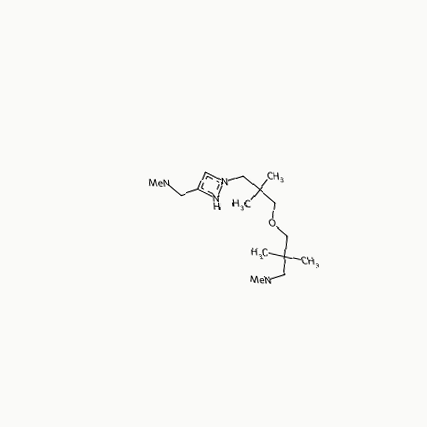 CNCc1cn(CC(C)(C)COCC(C)(C)CNC)[nH]1